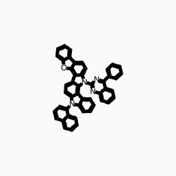 c1ccc(-c2nc(-n3c4ccc5c6ccccc6oc5c4c4ccc5c(c6ccccc6n5-c5cccc6ccccc56)c43)nc3ccccc23)cc1